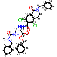 CN(Cc1ccccc1)C(=O)NC[C@H](NC(=O)c1c(Cl)cc2c(c1Cl)CCN(Cc1ccccc1)C2=O)C(=O)OCc1ccccc1